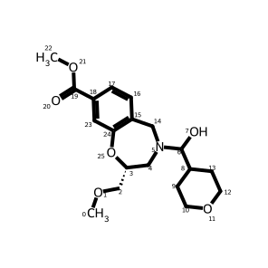 COC[C@H]1CN(C(O)C2CCOCC2)Cc2ccc(C(=O)OC)cc2O1